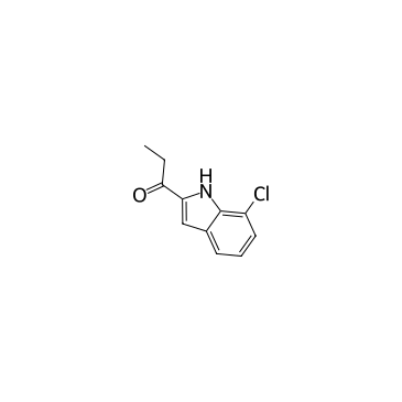 CCC(=O)c1cc2cccc(Cl)c2[nH]1